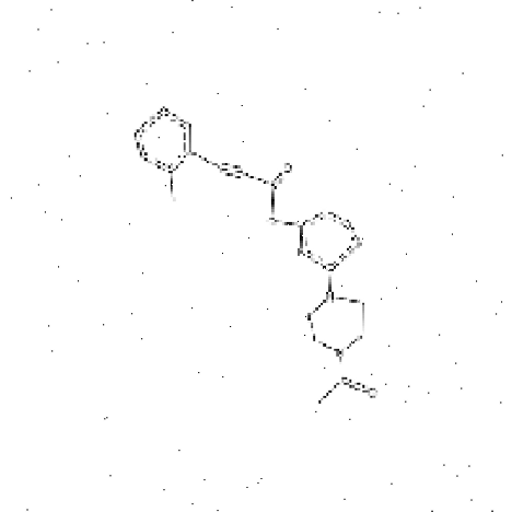 CC(=O)N1CCN(c2cccc(OC(=O)C#Cc3ccccc3C)n2)CC1